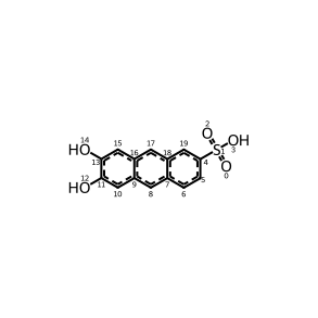 O=S(=O)(O)c1ccc2cc3cc(O)c(O)cc3cc2c1